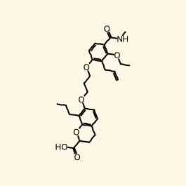 C=CCc1c(OCCCOc2ccc3c(c2CCC)OC(C(=O)O)CC3)ccc(C(=O)NC)c1OCC